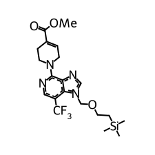 COC(=O)C1=CCN(c2ncc(C(F)(F)F)c3c2ncn3COCC[Si](C)(C)C)CC1